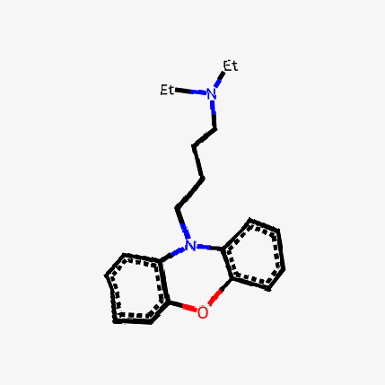 CCN(CC)CCCCN1c2ccccc2Oc2ccccc21